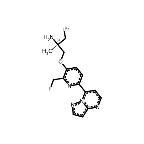 CC(C)C[C@](C)(N)COc1ccc(-c2ccnc3ccnn23)nc1CF